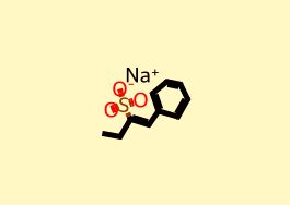 CCC(=Cc1ccccc1)S(=O)(=O)[O-].[Na+]